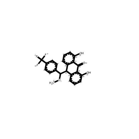 COC(c1ccc(C(F)(F)F)cc1)C1c2cccc(O)c2C(=O)c2c(O)cccc21